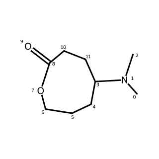 CN(C)C1CCCOC(=O)CC1